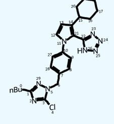 CCCCc1nc(Cl)n(Cc2ccc(-n3ccc(C4CCCCC4)c3-c3nnn[nH]3)cc2)n1